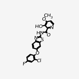 COc1ccnc(C(=O)Nc2nc3ccc(Oc4ccc(F)cc4Cl)cc3s2)c1O